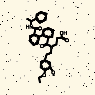 CCOc1ccc(CCN(CCC(=O)O)C(=O)c2ccccc2-c2ccccc2C(=O)NC(C)c2ccccc2)cc1OC